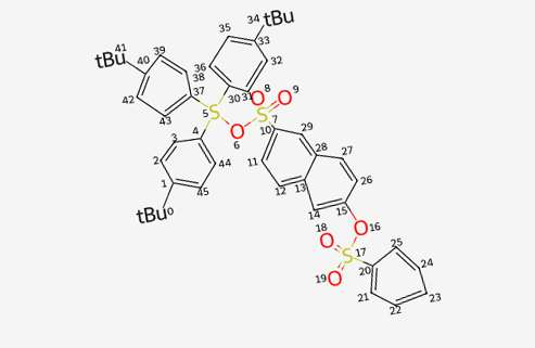 CC(C)(C)c1ccc(S(OS(=O)(=O)c2ccc3cc(OS(=O)(=O)c4ccccc4)ccc3c2)(c2ccc(C(C)(C)C)cc2)c2ccc(C(C)(C)C)cc2)cc1